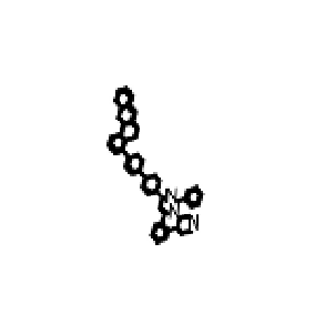 c1ccc(-c2nc(-c3ccc(-c4ccc(-c5cccc6c5ccc5cc7ccccc7cc56)cc4)cc3)cc(-c3ccccc3-c3ccncc3)n2)cc1